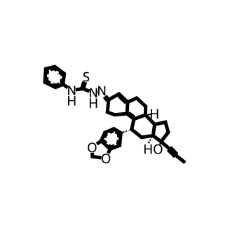 CC#C[C@]1(O)CCC2[C@@H]3CCC4=C/C(=N/NC(=S)Nc5ccccc5)CCC4=C3[C@@H](c3ccc4c(c3)OCO4)C[C@@]21C